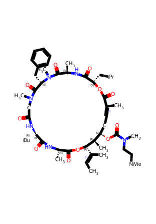 C/C=C(\C)[C@@H]1OC(=O)[C@H](C)NC(=O)[C@@H]([C@H](C)CC)NC(=O)CN(C)C(=O)[C@H](Cc2ccccc2)N(C)C(=O)[C@@H](C)NC(=O)[C@H](CC(C)C)OC(=O)/C(C)=C\C[C@H](OC(=O)N(C)CCNC)[C@H]1C